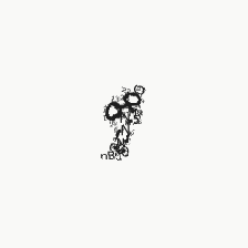 CCCCS(=O)(=O)N1CCN(c2nc(C3(c4ccccc4)CCC(=O)CC3)ns2)CC1